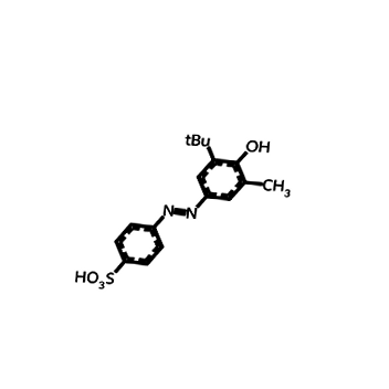 Cc1cc(N=Nc2ccc(S(=O)(=O)O)cc2)cc(C(C)(C)C)c1O